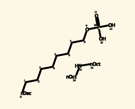 CCCCCCCCCCCCCCCCCCOP(=O)(O)O.CCCCCCCCNCCCCCCCC